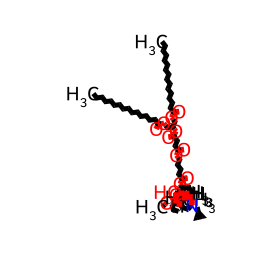 CCCCCCCCCCCCCCCC(=O)OCC(COC(=O)CCCCCCCCCCCCCCC)OC(=O)CCC(=O)OCCCCC(=O)Oc1ccc2c3c1O[C@H]1[C@]4(OC)CC[C@@]5(C[C@@H]4[C@](C)(O)C(C)(C)C)C(C2)N(CC2CC2)CC[C@]315